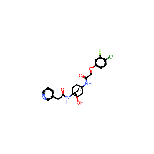 O=C(COc1ccc(Cl)c(F)c1)NC12CCC(NC(=O)Cc3cccnc3)(CC1)C(O)C2